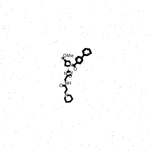 CO/N=C1/C[C@@H](c2noc(CNC(=O)CCN3CCCCC3)n2)N(C(=O)c2ccc(-c3ccccc3)cc2)C1